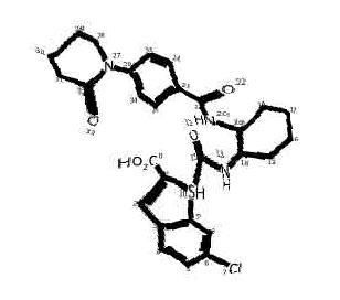 O=C(O)C1=Cc2ccc(Cl)cc2[SH]1C(=O)NC1CCCCC1NC(=O)c1ccc(N2CCCCC2=O)cc1